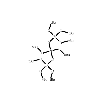 CCCC[O][Zr]([O]CCCC)([O][Si](OC(C)(C)C)(OC(C)(C)C)OC(C)(C)C)[O][Si](OC(C)(C)C)(OC(C)(C)C)OC(C)(C)C